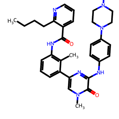 CCCCc1ncccc1C(=O)Nc1cccc(-c2cn(C)c(=O)c(Nc3ccc(N4CCN(C)CC4)cc3)n2)c1C